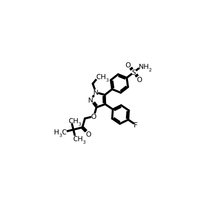 CCn1nc(OCC(=O)C(C)(C)C)c(-c2ccc(F)cc2)c1-c1ccc(S(N)(=O)=O)cc1